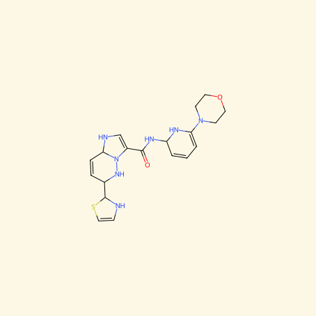 O=C(NC1C=CC=C(N2CCOCC2)N1)C1=CNC2C=CC(C3NC=CS3)NN12